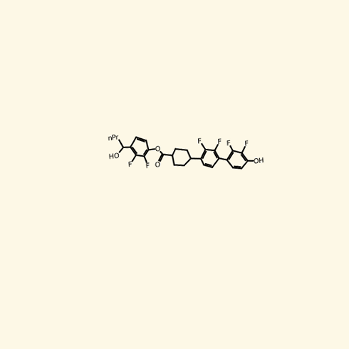 CCCC(O)c1ccc(OC(=O)C2CCC(c3ccc(-c4ccc(O)c(F)c4F)c(F)c3F)CC2)c(F)c1F